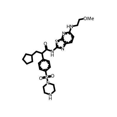 COCCNc1ccc2nc(NC(=O)C(CC3CCCC3)c3ccc(S(=O)(=O)N4CCNCC4)cc3)sc2n1